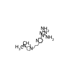 CN(C)C1CCN(CCCc2ccc(-n3nc(N)nc3N)cn2)C1